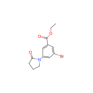 CCOC(=O)c1cc(Br)cc(N2CCCC2=O)c1